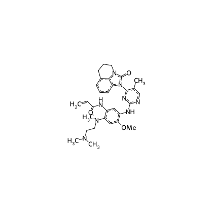 C=CC(=O)Nc1cc(Nc2ncc(C)c(-n3c(=O)n4c5c(cccc53)CCC4)n2)c(OC)cc1N(C)CCN(C)C